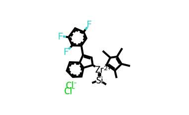 CC1=C(C)C(C)[C]([Zr+2]([CH]2C=C(c3cc(F)cc(F)c3F)c3ccccc32)=[Si](C)C)=C1C.[Cl-].[Cl-]